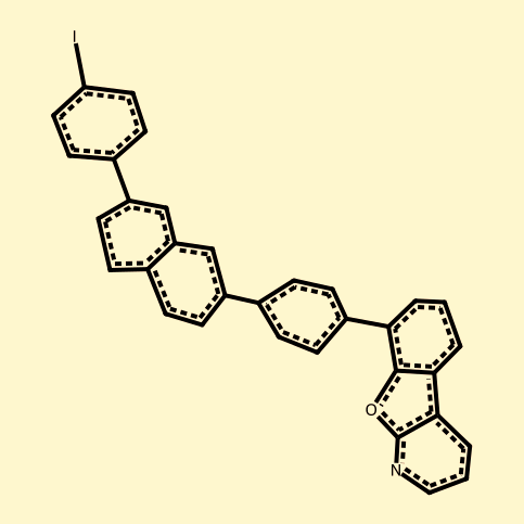 Ic1ccc(-c2ccc3ccc(-c4ccc(-c5cccc6c5oc5ncccc56)cc4)cc3c2)cc1